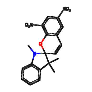 CN1c2ccccc2C(C)(C)C12C=Cc1cc([N+](=O)[O-])cc([N+](=O)[O-])c1O2